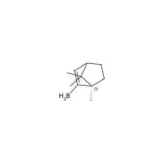 BC1=CC2CC[C@]1(C)C2(C)C